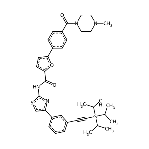 CC(C)S(C#Cc1cccc(-c2csc(NC(=O)c3ccc(-c4ccc(C(=O)N5CCN(C)CC5)cc4)o3)n2)c1)(C(C)C)C(C)C